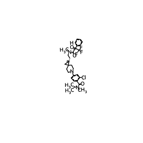 CC(C)N(C)C(=O)c1ccc(N2CCC3(CC2)C[C@@H]3CCN(C)C(=O)[C@](O)(c2ccccc2)C(F)(F)F)cc1Cl